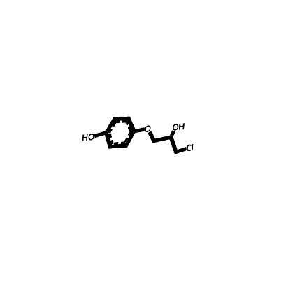 Oc1ccc(OCC(O)CCl)cc1